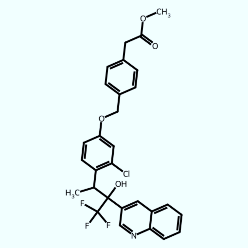 COC(=O)Cc1ccc(COc2ccc(C(C)C(O)(c3cnc4ccccc4c3)C(F)(F)F)c(Cl)c2)cc1